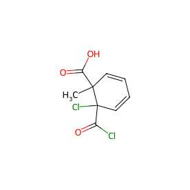 CC1(C(=O)O)C=CC=CC1(Cl)C(=O)Cl